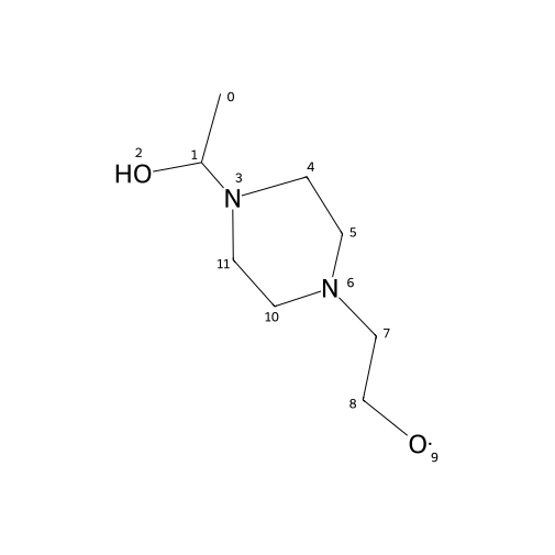 CC(O)N1CCN(CC[O])CC1